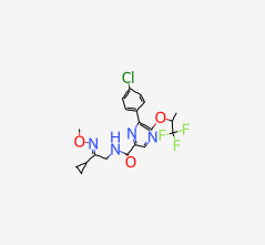 CON=C(CNC(=O)c1cnc(OC(C)C(F)(F)F)c(-c2ccc(Cl)cc2)n1)C1CC1